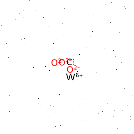 [C].[O-2].[O-2].[O-2].[W+6]